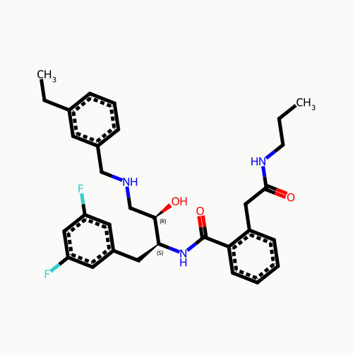 CCCNC(=O)Cc1ccccc1C(=O)N[C@@H](Cc1cc(F)cc(F)c1)[C@H](O)CNCc1cccc(CC)c1